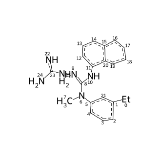 CCc1cccc(N(C)C(=N)Nc2cccc3ccccc23)c1.N=C(N)N